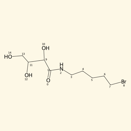 O=C(NCCCCCBr)C(O)C(O)CO